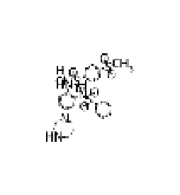 CS(=O)(=O)c1ccc(S(=O)(=O)Nc2ccc(N3CCCNCC3)cc2NS(=O)(=O)c2ccccc2)cc1.Cl